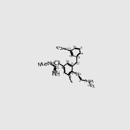 CCNC=Nc1c(C)cc(Cl)cc1Cc1cccc(Cl)c1.CNC=N